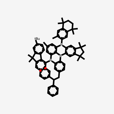 Cc1cc2c3c(c1)N(c1cccc4c1-c1ccc(C(C)(C)C)cc1C4(C)C)c1cc(CC(c4ccccc4)c4ccccc4)ccc1B3c1cc3c(cc1N2c1cc2c(cc1C)C(C)(C)CCC2(C)C)C(C)(C)CC3(C)C